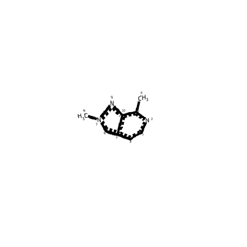 Cc1n[c]cc2cn(C)nc12